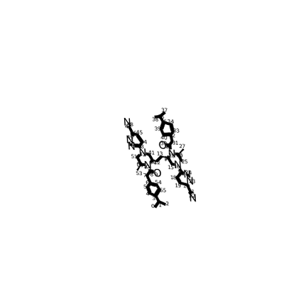 CC(C)c1ccc(CC(=O)N2[C@H](CC[C@@H]3CN(c4ccc(C#N)nn4)C[C@H](C)N3C(=O)Cc3ccc(C(C)C)cc3)CN(c3ccc(C#N)nn3)C[C@@H]2C)cc1